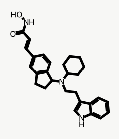 O=C(C=Cc1ccc2c(c1)CCC2N(CCc1c[nH]c2ccccc12)C1CCCCC1)NO